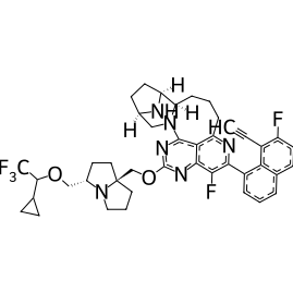 C#Cc1c(F)ccc2cccc(-c3nc4c5c(nc(OC[C@@]67CCCN6[C@H](COC(C6CC6)C(F)(F)F)CC7)nc5c3F)N3C[C@H]5CC[C@H](N5)[C@H]3CCC4)c12